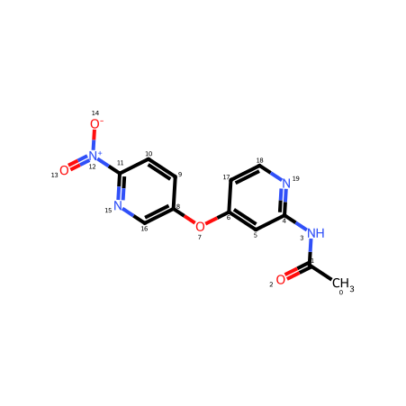 CC(=O)Nc1cc(Oc2ccc([N+](=O)[O-])nc2)ccn1